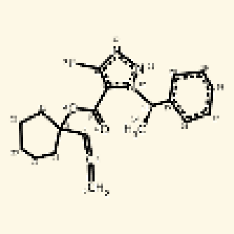 C=C=CC1(OC(=O)c2c(F)nnn2[C@H](C)c2ccccc2)CCCCC1